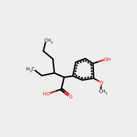 CCCC(CC)C(C(=O)O)c1ccc(O)c(OC)c1